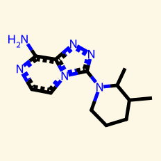 CC1CCCN(c2nnc3c(N)nccn23)C1C